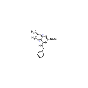 C=C/C=c1/nc(NC)nc(NCc2ccccc2)/c1=C/C